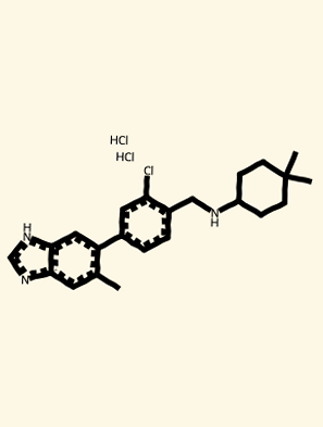 Cc1cc2nc[nH]c2cc1-c1ccc(CNC2CCC(C)(C)CC2)c(Cl)c1.Cl.Cl